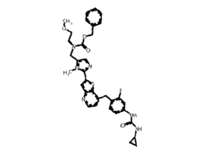 COCCN(Cc1cnc(-c2cc3nccc(Cc4ccc(NC(=O)NC5CC5)cc4F)c3s2)n1C)C(=O)OCc1ccccc1